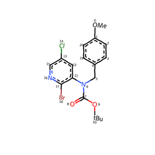 COc1ccc(CN(C(=O)OC(C)(C)C)c2cc(Cl)cnc2Br)cc1